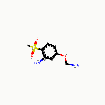 CS(=O)(=O)c1ccc(OCN)cc1N